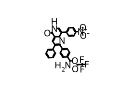 NC(OC(=O)C(F)(F)F)c1ccc(-c2nc3c(-c4ccc([N+](=O)[O-])cc4)c[nH]c(=O)c3cc2-c2ccccc2)cc1